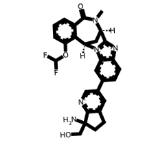 CN1C(=O)c2cccc(OC(F)F)c2[C@H]2C[C@@H]1c1nc3ccc(-c4cnc5c(c4)CCC5(N)CO)cc3n12